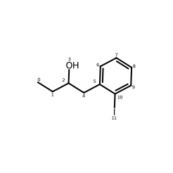 CCC(O)Cc1ccccc1I